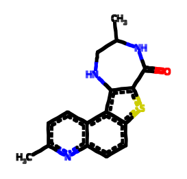 Cc1ccc2c(ccc3sc4c(c32)NCC(C)NC4=O)n1